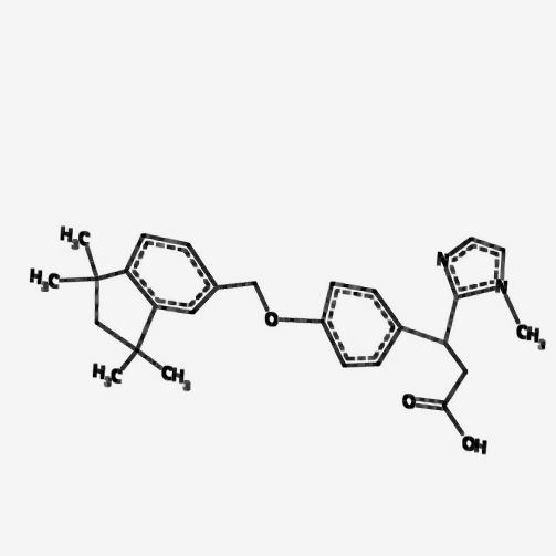 Cn1ccnc1C(CC(=O)O)c1ccc(OCc2ccc3c(c2)C(C)(C)CC3(C)C)cc1